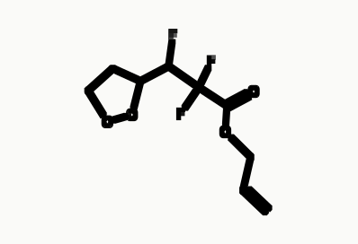 C=CCOC(=O)C(F)(F)C(F)C1CCOO1